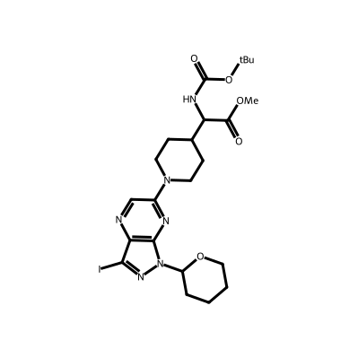 COC(=O)C(NC(=O)OC(C)(C)C)C1CCN(c2cnc3c(I)nn(C4CCCCO4)c3n2)CC1